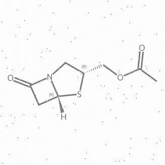 CC(=O)OC[C@H]1CN2C(=O)C[C@H]2S1